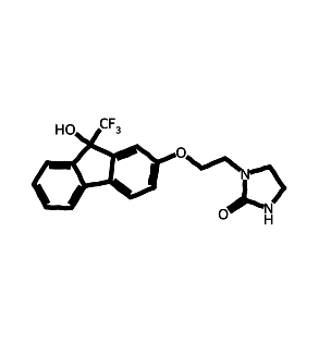 O=C1NCCN1CCOc1ccc2c(c1)C(O)(C(F)(F)F)c1ccccc1-2